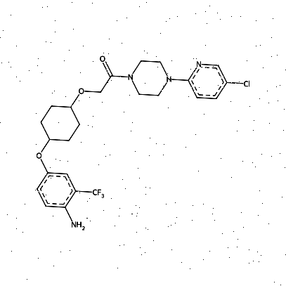 Nc1ccc(OC2CCC(OCC(=O)N3CCN(c4ccc(Cl)cn4)CC3)CC2)cc1C(F)(F)F